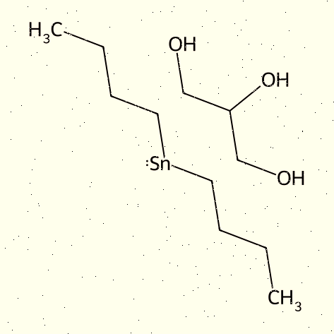 CCC[CH2][Sn][CH2]CCC.OCC(O)CO